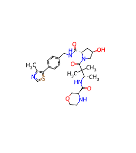 Cc1ncsc1-c1ccc(CNC(=O)[C@@H]2C[C@@H](O)CN2C(=O)C(C)(C)[C@H](C)NC(=O)[C@@H]2COCCN2)cc1